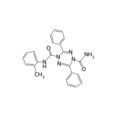 Cc1ccccc1NC(=O)N1N=C(c2ccccc2)N(C(N)=O)N=C1c1ccccc1